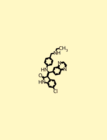 CCNCc1ccc(N/C(=C2\C(=O)Nc3cc(Cl)ccc32)c2ccc3nccnc3c2)cc1